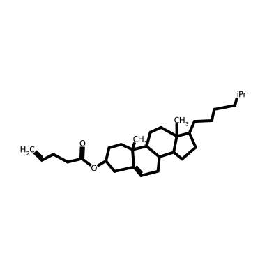 C=CCCC(=O)OC1CCC2(C)C(=CCC3C2CCC2(C)C(CCCCC(C)C)CCC32)C1